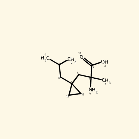 CC(C)CC1(CC(C)(N)C(=O)O)CC1